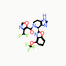 O=C(c1ocnc1C(F)F)N1CCc2[nH]cnc2[C@H]1c1nc2c(OC(F)(F)F)cccc2o1